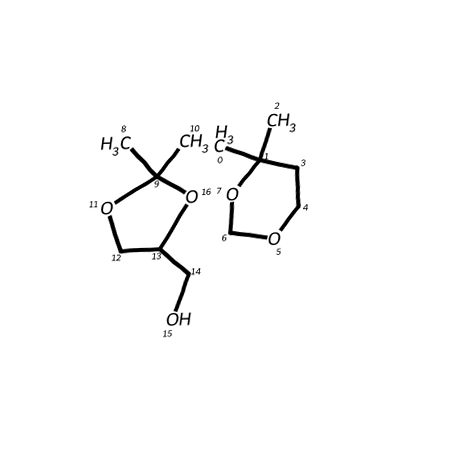 CC1(C)CCOCO1.CC1(C)OCC(CO)O1